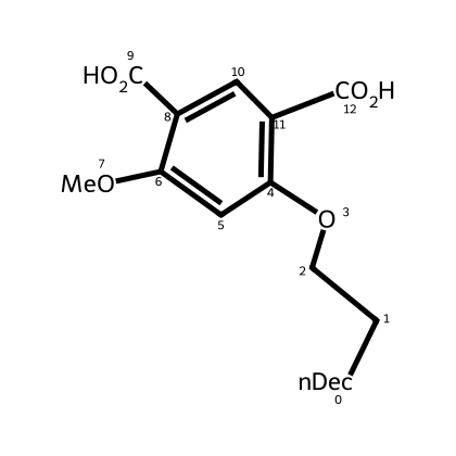 CCCCCCCCCCCCOc1cc(OC)c(C(=O)O)cc1C(=O)O